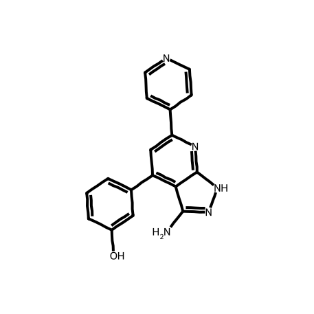 Nc1n[nH]c2nc(-c3ccncc3)cc(-c3cccc(O)c3)c12